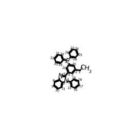 CCc1cc(-c2nc3ccccc3n2-c2ccccc2)cc(P(c2ccccc2)c2ccccc2)c1